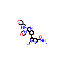 CCn1cc(-c2ccc3ncc(NCC4CCOCC4)c(N4CCOCC4)c3c2)c2cc(C(N)=O)cnc21